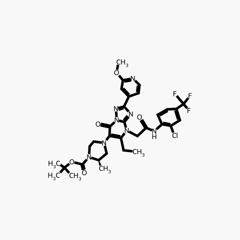 CCc1c(N2CCN(C(=O)OC(C)(C)C)[C@H](C)C2)c(=O)n2nc(-c3ccnc(OC)c3)nc2n1CC(=O)Nc1ccc(C(F)(F)F)cc1Cl